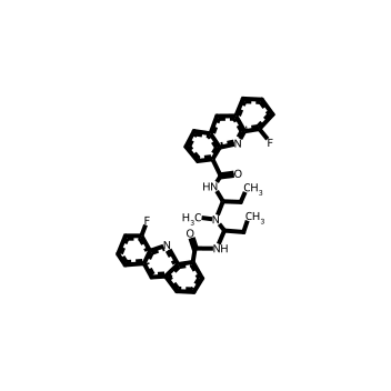 CCC(NC(=O)c1cccc2cc3cccc(F)c3nc12)N(C)C(CC)NC(=O)c1cccc2cc3cccc(F)c3nc12